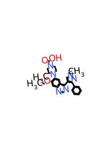 CCOc1cc2ncnc(-c3cn(C)nc3-c3ccccc3)c2cc1N1CCN(C(=O)O)C[C@@H]1C